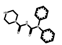 O=C(NC(=O)N(c1ccccc1)c1ccccc1)N1CCNCC1